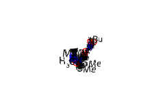 COc1ccc(CN(Cc2cccc(OCCCN3CCN(C(=O)OC(C)(C)C)CC3)c2OC)C(=O)c2cc(C3CC3)nn2C)c(OC)c1